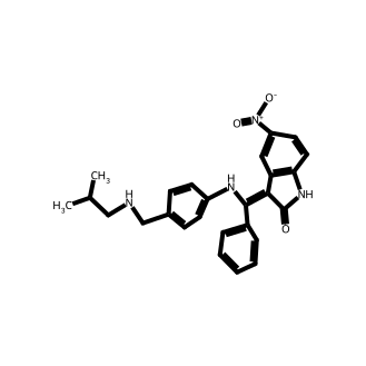 CC(C)CNCc1ccc(NC(=C2C(=O)Nc3ccc([N+](=O)[O-])cc32)c2ccccc2)cc1